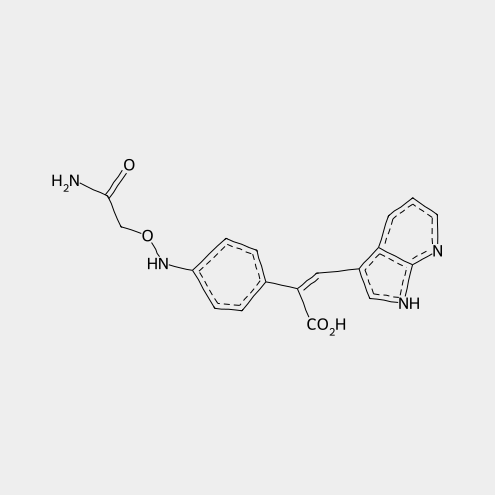 NC(=O)CONc1ccc(/C(=C/c2c[nH]c3ncccc23)C(=O)O)cc1